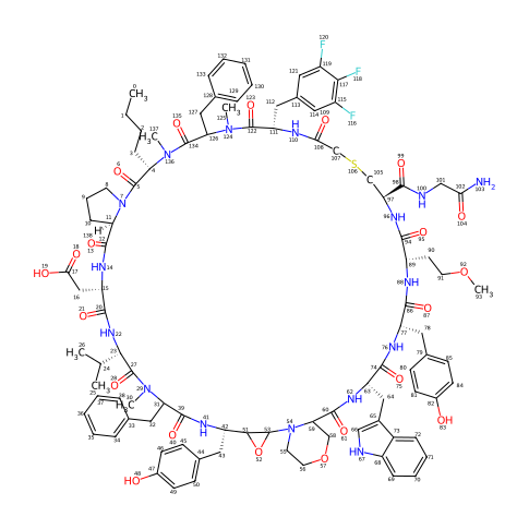 CCCC[C@H]1C(=O)N2CCC[C@@H]2C(=O)N[C@@H](CC(=O)O)C(=O)N[C@@H](C(C)C)C(=O)N(C)C(Cc2ccccc2)C(=O)N[C@@H](Cc2ccc(O)cc2)C2OC2N2CCOCC2C(=O)N[C@@H](Cc2c[nH]c3ccccc23)C(=O)N[C@@H](Cc2ccc(O)cc2)C(=O)N[C@@H](CCOC)C(=O)N[C@H](C(=O)NCC(N)=O)CSCC(=O)N[C@@H](Cc2cc(F)c(F)c(F)c2)C(=O)N(C)C(Cc2ccccc2)C(=O)N1C